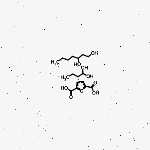 CCCC(O)O.CCCCC(O)CCO.O=C(O)c1ccc(C(=O)O)o1